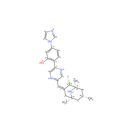 C[C@@H]1C[C@@]2(C)C/C(=C/c3cnc(-c4ccc(-n5ccnc5)cc4O)cn3)[C@@H](F)[C@@](C)(C1)N2